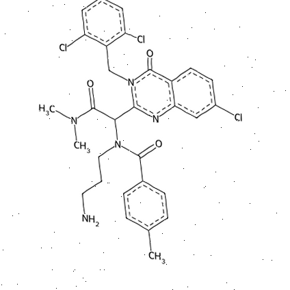 Cc1ccc(C(=O)N(CCCN)C(C(=O)N(C)C)c2nc3cc(Cl)ccc3c(=O)n2Cc2c(Cl)cccc2Cl)cc1